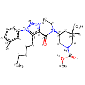 COCCCCc1c(C(=O)N(CC(C)C)[C@@H]2CN(C(=O)OC(C)(C)C)C[C@](C)(C(=O)O)C2)nnn1-c1cccc(C)c1